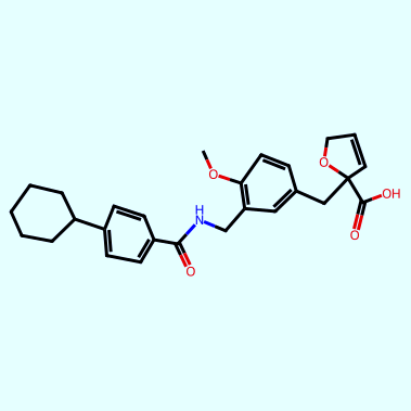 COc1ccc(CC2(C(=O)O)C=CCO2)cc1CNC(=O)c1ccc(C2CCCCC2)cc1